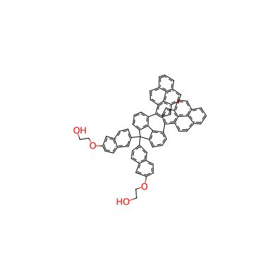 OCCOc1ccc2cc(C3(c4ccc5cc(OCCO)ccc5c4)c4cccc(-c5ccc6ccc7cccc8ccc5c6c78)c4-c4c(-c5ccc6ccc7cccc8ccc5c6c78)cccc43)ccc2c1